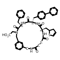 O=C(O)CN1Cc2cccc(c2)CNC(=O)CCC(=O)N[C@H](CC2CC=CS2)C(=O)N[C@@H](Cc2ccc(-c3ccccc3)cc2)C(=O)N[C@H](Cc2ccccc2)C1=O